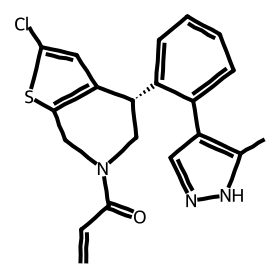 C=CC(=O)N1Cc2sc(Cl)cc2[C@H](c2ccccc2-c2cn[nH]c2C)C1